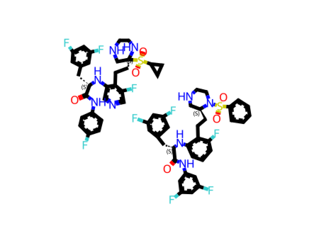 O=C(Nc1cc(F)cc(F)c1)[C@H](Cc1cc(F)cc(F)c1)Nc1cccc(F)c1CC[C@H]1CNCCN1S(=O)(=O)c1ccccc1.O=C(Nc1ccc(F)cc1)[C@H](Cc1cc(F)cc(F)c1)Nc1cncc(F)c1CC[C@]1(S(=O)(=O)C2CC2)CNCCN1